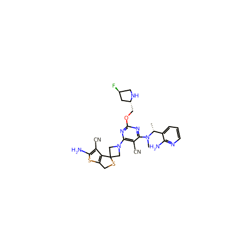 C[C@H](c1cccnc1N)N(C)c1nc(OC[C@@H]2C[C@@H](F)CN2)nc(N2CC3(C2)SCc2sc(N)c(C#N)c23)c1C#N